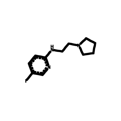 Ic1ccc(NCCN2CCCC2)nc1